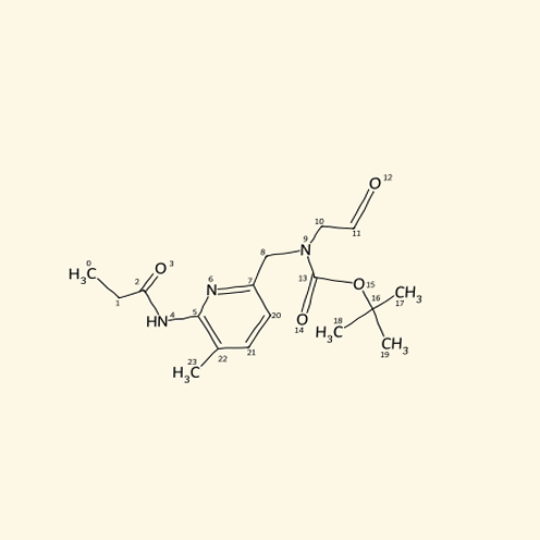 CCC(=O)Nc1nc(CN(CC=O)C(=O)OC(C)(C)C)ccc1C